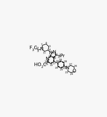 CC(C)c1nn(C2CCCN(CC(F)(F)F)C2)c2nc(C(=O)O)cc(-c3ccc(N4CCOCC4)cc3)c12